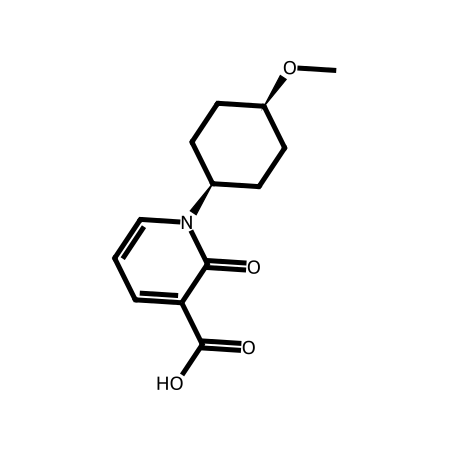 CO[C@H]1CC[C@@H](n2cccc(C(=O)O)c2=O)CC1